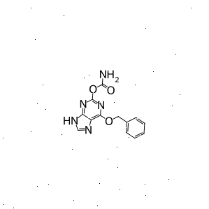 NC(=O)Oc1nc(OCc2ccccc2)c2nc[nH]c2n1